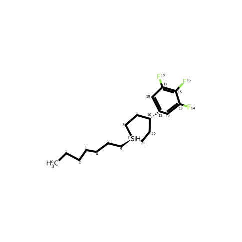 CCCCCCC[Si@H]1CC[C@H](c2cc(F)c(F)c(F)c2)CC1